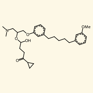 COc1cccc(CCCCCc2cccc(OCC(CN(C)C)OC(O)CCC(=O)C3CC3)c2)c1